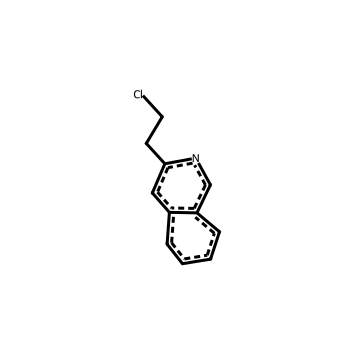 ClCCc1cc2ccccc2cn1